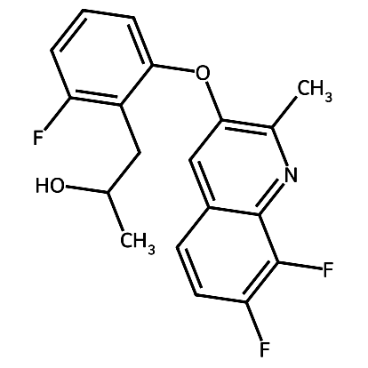 Cc1nc2c(F)c(F)ccc2cc1Oc1cccc(F)c1CC(C)O